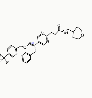 O=C(CCc1ncc(/C(Cc2ccccc2)=N/OCc2ccc(C(F)(F)F)cc2)cn1)NCC1CCOCC1